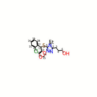 CCn1c(CCCO)nnc1SC(C1=COCO1)c1ccccc1Cl